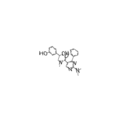 CN(CC(O)c1cccc(O)c1)C(=O)c1cnc(N(C)C)nc1-c1ccccc1